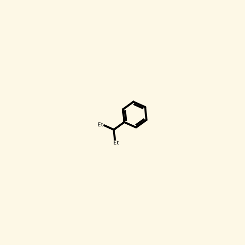 CCC(CC)c1c[c]ccc1